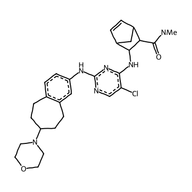 CNC(=O)C1C2C=CC(C2)C1Nc1nc(Nc2ccc3c(c2)CCC(N2CCOCC2)CC3)ncc1Cl